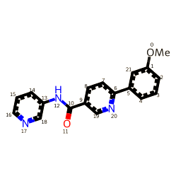 COc1cccc(-c2ccc(C(=O)Nc3cccnc3)cn2)c1